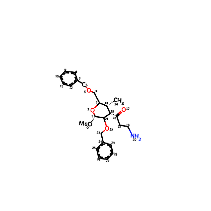 CO[C@@H]1OC(COCc2ccccc2)[C@H](C)[C@H](C(=O)CCN)C1OCc1ccccc1